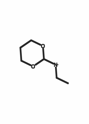 CC[N]C1OCCCO1